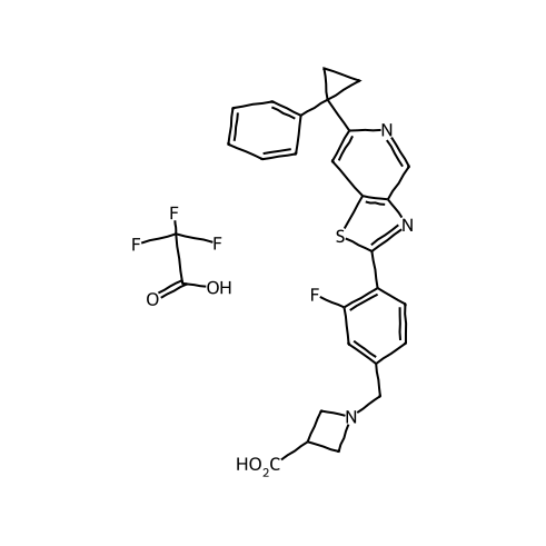 O=C(O)C(F)(F)F.O=C(O)C1CN(Cc2ccc(-c3nc4cnc(C5(c6ccccc6)CC5)cc4s3)c(F)c2)C1